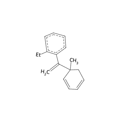 C=C(c1ccccc1CC)C1(C)C=CC=CC1